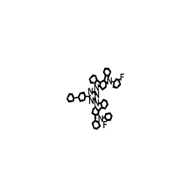 Fc1cccc(-n2c3ccccc3c3c4c5ccccc5n(-c5nc(-c6ccc(-c7ccccc7)cc6)nc(-n6c7ccccc7c7c6ccc6c8ccccc8n(-c8ccccc8F)c67)n5)c4ccc32)c1